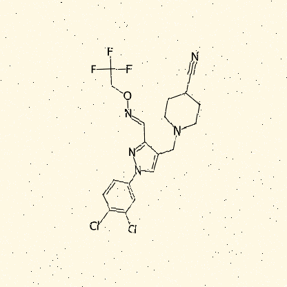 N#CC1CCN(Cc2cn(-c3ccc(Cl)c(Cl)c3)nc2C=NOCC(F)(F)F)CC1